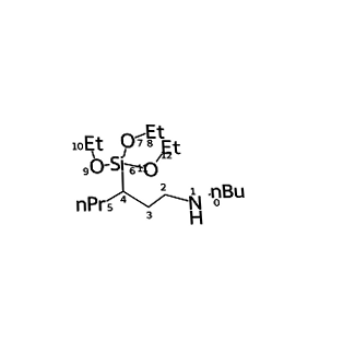 CCCCNCCC(CCC)[Si](OCC)(OCC)OCC